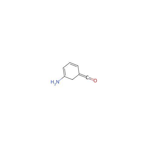 NC1=CC=CC(=C=O)C1